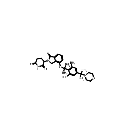 Bc1cc(C(B)(B)N2CCOCC2)cc(B)c1C(B)(B)Oc1cccc2c1CN(C1CCC(=O)NC1=O)C2=O